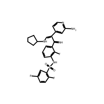 N=C(/C(=C\NC1CCCC1)c1ccnc(N)c1)c1cccc(NS(=O)(=O)c2cc(F)ccc2F)c1F